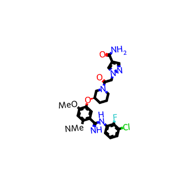 CNc1cc(OC)c(O[C@@H]2CCCN(C(=O)Cn3cc(C(N)=O)cn3)C2)cc1C(=N)Nc1cccc(Cl)c1F